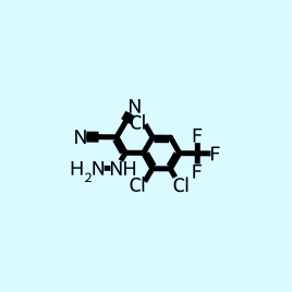 N#CC(C#N)=C(NN)c1c(Cl)cc(C(F)(F)F)c(Cl)c1Cl